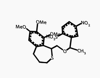 COc1cc2c(c(OC)c1OC)C(COC(C)c1cc([N+](=O)[O-])ccc1S(=O)(=O)O)SCCC2